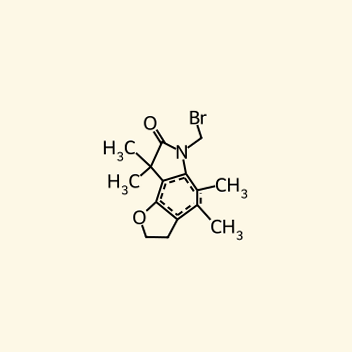 Cc1c(C)c2c(c3c1CCO3)C(C)(C)C(=O)N2CBr